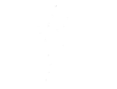 COC1=C(c2c(C)cc(C#CCl)cc2C)C(=O)C2CCC1C2